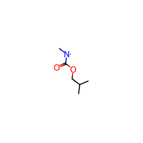 C[N]C(=O)OCC(C)C